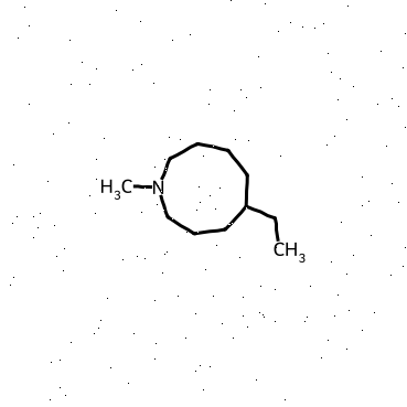 CCC1CCCCN(C)CCC1